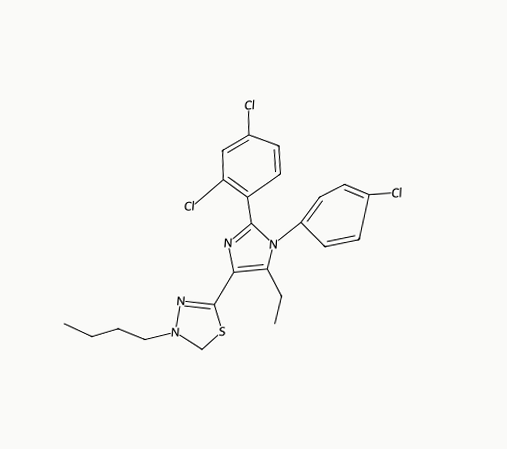 CCCCN1CSC(c2nc(-c3ccc(Cl)cc3Cl)n(-c3ccc(Cl)cc3)c2CC)=N1